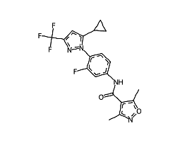 Cc1noc(C)c1C(=O)Nc1ccc(-n2nc(C(F)(F)F)cc2C2CC2)c(F)c1